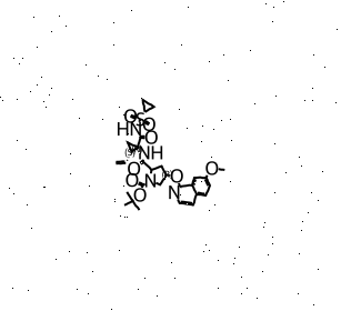 C=C[C@@H]1C[C@]1(NC(=O)C1C[C@@H](Oc2nccc3ccc(OC)cc23)CN1C(=O)OC(C)(C)C)C(=O)NS(=O)(=O)C1CC1